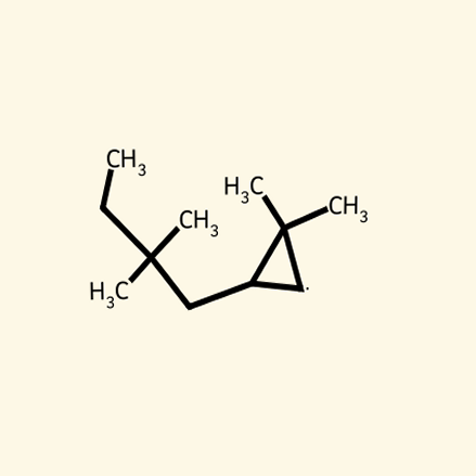 CCC(C)(C)CC1[CH]C1(C)C